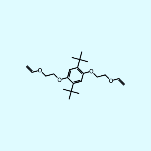 C=COCCOc1cc(C(C)(C)C)c(OCCOC=C)cc1C(C)(C)C